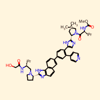 COC(=O)N[C@H](C(=O)N1C[Si](C)(C)C[C@H]1c1ncc(-c2ccc(-c3ccc4c(ccc5nc([C@@H]6CCCN6C[C@@H](NC(=O)CO)C(C)C)[nH]c54)c3)cc2-c2ccncc2)[nH]1)C(C)C